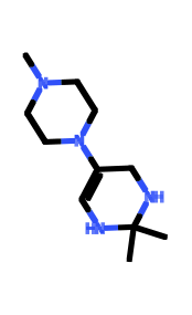 CN1CCN(C2=CNC(C)(C)NC2)CC1